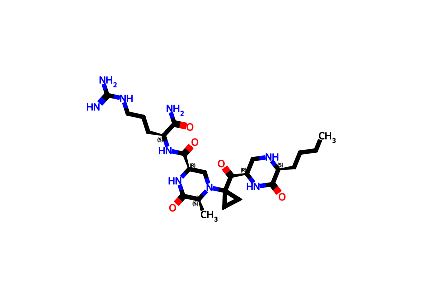 CCCC[C@@H]1NC[C@H](C(=O)C2(N3C[C@H](C(=O)N[C@@H](CCCNC(=N)N)C(N)=O)NC(=O)[C@@H]3C)CC2)NC1=O